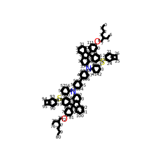 CCCCC(CC)COc1ccc(C2(c3ccc(Sc4ccc5c(c4)CC5)cc3)c3ccccc3C3C=CC(N(c4ccccc4)c4ccc(-c5ccc(N(c6ccccc6)c6ccc7c(c6)C(c6ccc(OCC(CC)CCCC)cc6)(c6ccc(Sc8ccc9c(c8)CC9)cc6)C6C=CC=CC76)cc5)cc4)=CC32)cc1